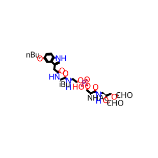 CCCCOc1ccc2[nH]cc(CC(=O)N[C@H](C(=O)NCCOP(=O)(O)OC[C@H](NC(C)=O)C(=O)NC[C@@H](COC=O)OC=O)[C@@H](C)CC)c2c1